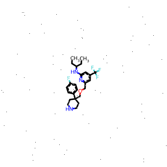 CCC(CC)Nc1cc(C(F)(F)F)cc(COCC2(c3ccc(F)cc3)CCNCC2)n1